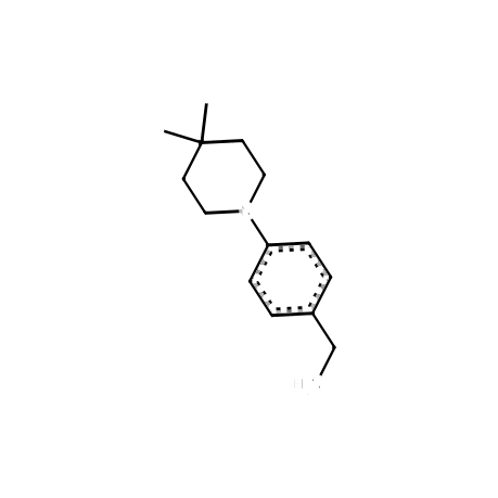 CC1(C)CCN(c2ccc(CN)cc2)CC1